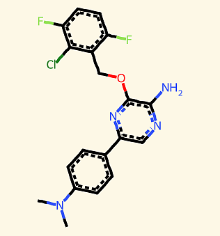 CN(C)c1ccc(-c2cnc(N)c(OCc3c(F)ccc(F)c3Cl)n2)cc1